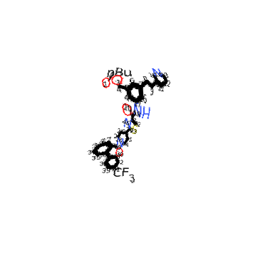 CCCCC(=O)OCc1cc(CCc2cccnc2)cc(NC(=O)c2csc(C3CCN(C(=O)c4ccccc4-c4ccc(C(F)(F)F)cc4)CC3)n2)c1